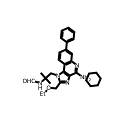 C1CCCCC1.CCOCc1nc2c(N)nc3cc(-c4ccccc4)ccc3c2n1CC(C)(C)NC=O